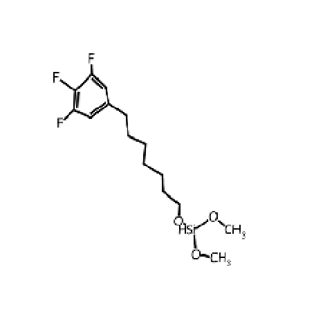 CO[SiH](OC)OCCCCCCCc1cc(F)c(F)c(F)c1